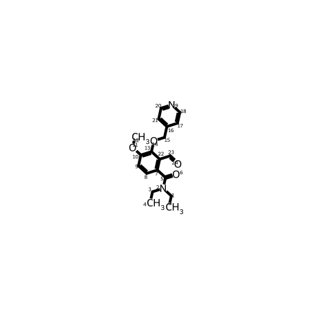 CCN(CC)C(=O)c1ccc(OC)c(OCc2ccncc2)c1C=O